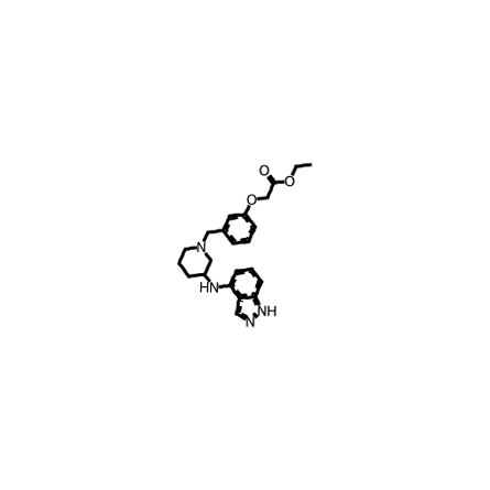 CCOC(=O)COc1cccc(CN2CCCC(Nc3cccc4[nH]ncc34)C2)c1